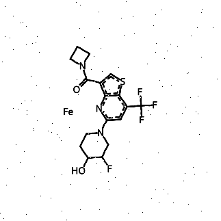 O=C(c1csc2c(C(F)(F)F)cc(N3CCC(O)C(F)C3)nc12)N1CCC1.[Fe]